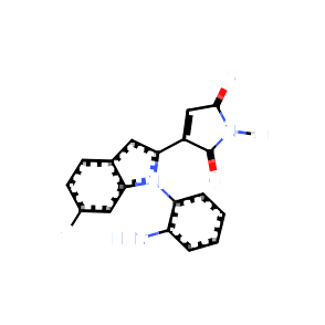 Cc1ccc2cc(C3=CC(=O)N(C)C3=O)n(-c3ccccc3N)c2c1